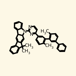 Cc1ccc(-c2ccccc2)cc1-c1cc(-c2ccnc(N3c4ccccc4C4C=C5C(=CC43)C(C)(C)c3ccccc35)n2)ccc1C